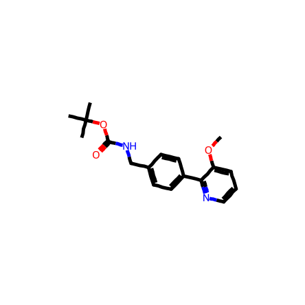 COc1cccnc1-c1ccc(CNC(=O)OC(C)(C)C)cc1